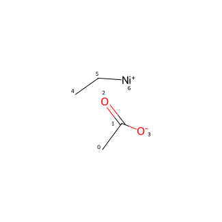 CC(=O)[O-].C[CH2][Ni+]